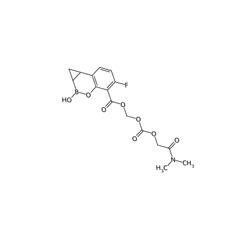 CN(C)C(=O)COC(=O)OCOC(=O)c1c(F)ccc2c1OB(O)C1CC21